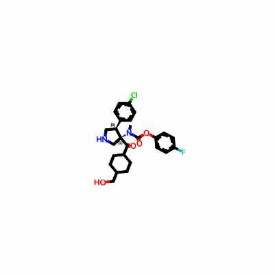 CN(C(=O)Oc1ccc(F)cc1)[C@]1(C(=O)C2CCC(CO)CC2)CNC[C@H]1c1ccc(Cl)cc1